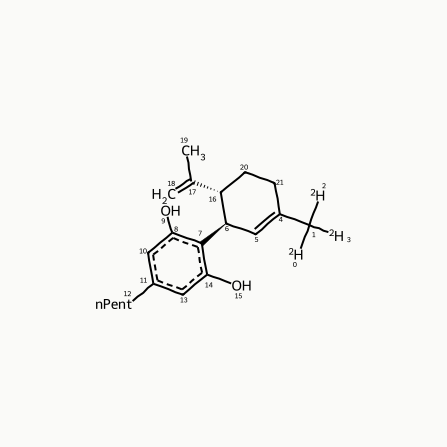 [2H]C([2H])([2H])C1=C[C@@H](c2c(O)cc(CCCCC)cc2O)[C@H](C(=C)C)CC1